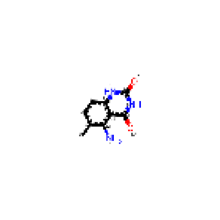 Cc1ccc2[nH]c(=O)[nH]c(=O)c2c1N